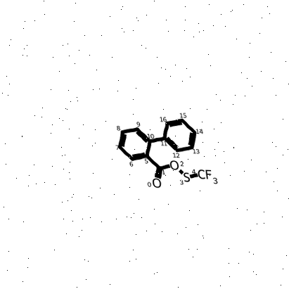 O=C(OSC(F)(F)F)c1ccccc1-c1ccccc1